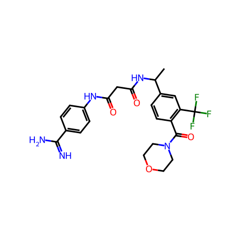 CC(NC(=O)CC(=O)Nc1ccc(C(=N)N)cc1)c1ccc(C(=O)N2CCOCC2)c(C(F)(F)F)c1